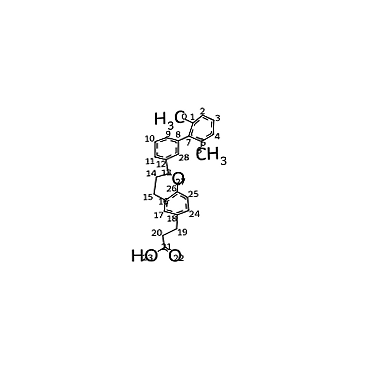 Cc1cccc(C)c1-c1cccc(C2CCc3cc(CCC(=O)O)ccc3O2)c1